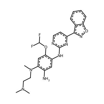 CN(C)CCN(C)c1cc(OC(F)F)c(Nc2nccc(-c3noc4ccccc34)n2)cc1N